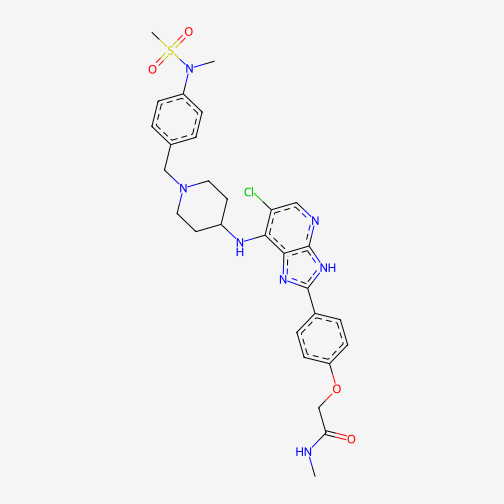 CNC(=O)COc1ccc(-c2nc3c(NC4CCN(Cc5ccc(N(C)S(C)(=O)=O)cc5)CC4)c(Cl)cnc3[nH]2)cc1